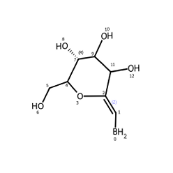 B/C=C1\OC(CO)[C@H](O)C(O)C1O